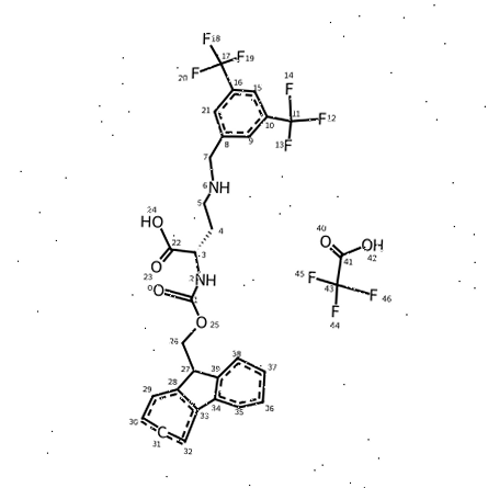 O=C(N[C@@H](CCNCc1cc(C(F)(F)F)cc(C(F)(F)F)c1)C(=O)O)OCC1c2ccccc2-c2ccccc21.O=C(O)C(F)(F)F